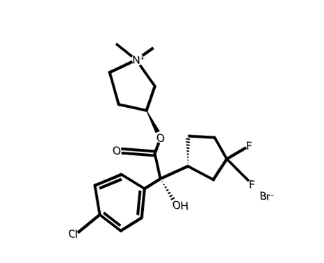 C[N+]1(C)CC[C@H](OC(=O)[C@](O)(c2ccc(Cl)cc2)[C@@H]2CCC(F)(F)C2)C1.[Br-]